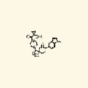 CCC1(C(=O)N2CCN(C(=O)C3(O)CC3)CC2)CCC(c2ccc3c(ccn3C)c2)N(C)C1